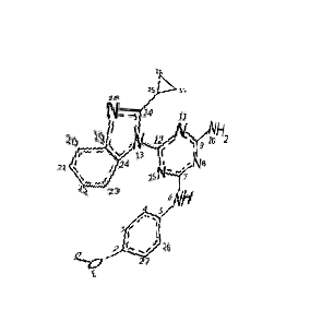 COc1ccc(Nc2nc(N)nc(-n3c(C4CC4)nc4ccccc43)n2)cc1